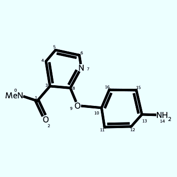 CNC(=O)c1cccnc1Oc1ccc(N)cc1